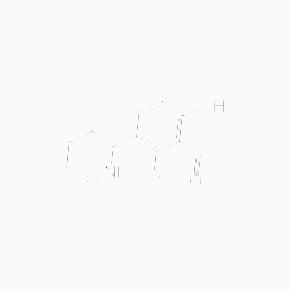 COc1c(C2CCCCN2)ccc(O)c1C=O